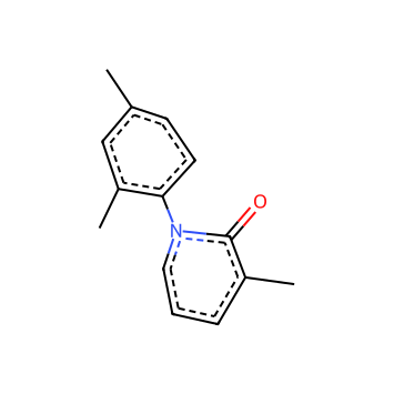 Cc1ccc(-n2cccc(C)c2=O)c(C)c1